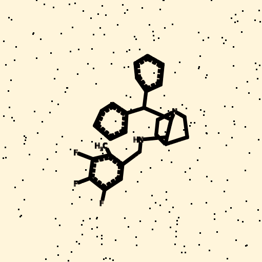 Cc1c(CNC2C3CCN(CC3)C2C(c2ccccc2)c2ccccc2)cc(F)c(F)c1F